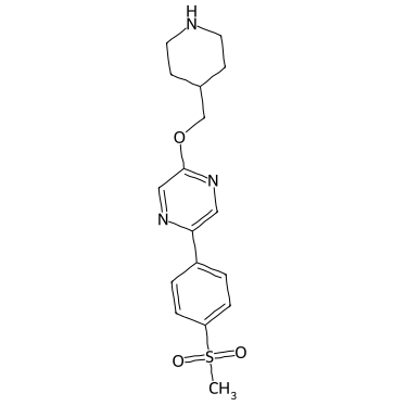 CS(=O)(=O)c1ccc(-c2cnc(OCC3CCNCC3)cn2)cc1